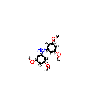 COc1cc(Nc2cc(OC)cc(OC)c2)cc(OC)c1